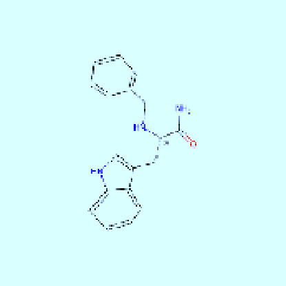 NC(=O)[C@H](Cc1c[nH]c2ccccc12)NCc1ccccc1